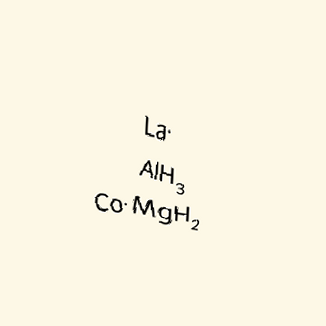 [AlH3].[Co].[La].[MgH2]